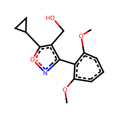 COc1cccc(OC)c1-c1noc(C2CC2)c1CO